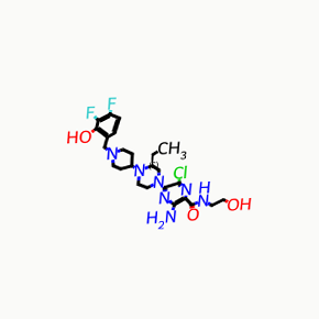 CC[C@H]1CN(c2nc(N)c(C(=O)NCCO)nc2Cl)CCN1C1CCN(Cc2ccc(F)c(F)c2O)CC1